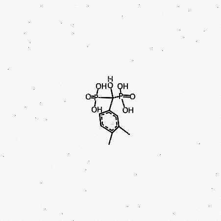 Cc1ccc(C(O)(P(=O)(O)O)P(=O)(O)O)cc1C